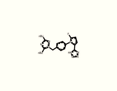 CCCCc1nc(CCCC)n(Cc2ccc(-n3c(F)ccc3-c3nnn[nH]3)cc2)n1